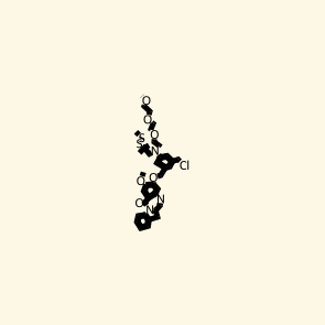 COCCOCCOCCN(CC(C)(C)SSC)c1cc(CCl)cc(COc2cc3c(cc2OC)C(=O)N2c4ccccc4CC2C=N3)c1